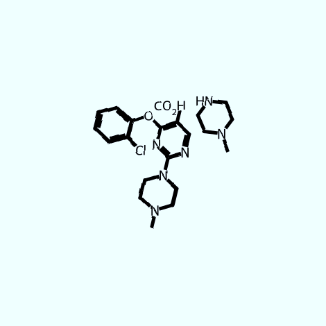 CN1CCN(c2ncc(C(=O)O)c(Oc3ccccc3Cl)n2)CC1.CN1CCNCC1